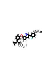 COc1ccc(F)c(-c2cnc3c(c2)CC[C@H]3Oc2cccc([C@H](C3CC3)[C@H](C)C(=O)O)c2)c1